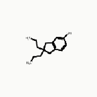 CCCC1(CCC)Cc2ccc(O)cc2C1